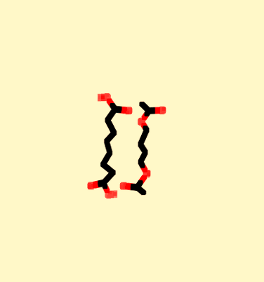 CC(=O)OCCCCOC(C)=O.O=C(O)CCCCCCC(=O)O